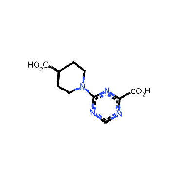 O=C(O)c1ncnc(N2CCC(C(=O)O)CC2)n1